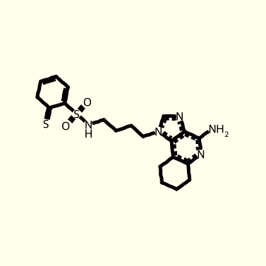 Nc1nc2c(c3c1ncn3CCCCNS(=O)(=O)C1=CC=CCC1=S)CCCC2